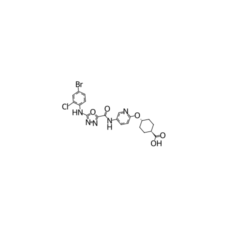 O=C(Nc1ccc(O[C@H]2CC[C@H](C(=O)O)CC2)nc1)c1nnc(Nc2ccc(Br)cc2Cl)o1